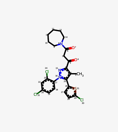 Cc1c(C(=O)CC(=O)N2CCCCCC2)nn(-c2ccc(Cl)cc2Cl)c1-c1ccc(Cl)s1